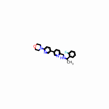 C[C@@H](NCc1ccc(-c2ccc(N3CCOCC3)nc2)cn1)c1ccccc1F